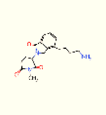 CN1C(=O)CCC(N2Cc3c(CCCCN)cccc3C2=O)C1=O